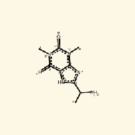 CC(N)c1nc2c([nH]1)c(=O)n(C)c(=O)n2C